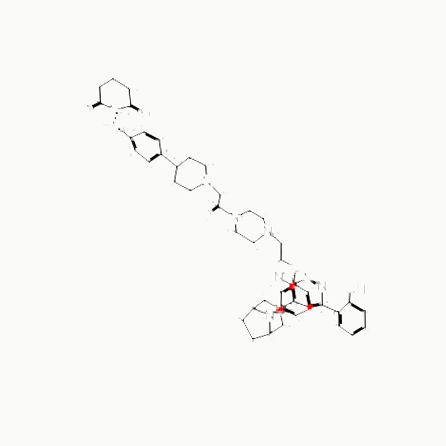 Nc1nnc(-c2ccccc2O)cc1N1CC2CCC(C1)N2c1cccc(OCCN2CCN(C(=O)CN3CCC(c4ccc(NN5C(=O)CCCC5=O)cc4)CC3)CC2)c1